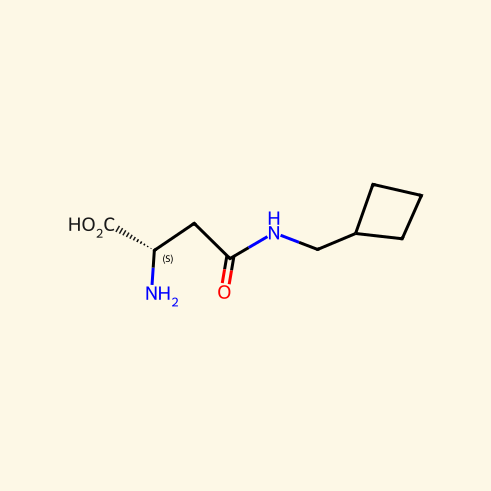 N[C@@H](CC(=O)NCC1CCC1)C(=O)O